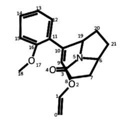 C=COC(=O)N1C2CCC=C(c3ccccc3OC)C1CC2